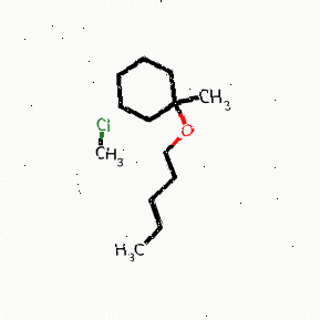 CCCCCOC1(C)CCCCC1.CCl